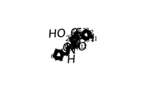 O=C(Cc1ccccc1)N[C@@H]1C(=O)N2CC(Sc3ccc(I)cc3)(C(=O)O)CS[C@H]12